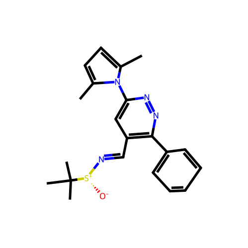 Cc1ccc(C)n1-c1cc(C=N[S@+]([O-])C(C)(C)C)c(-c2ccccc2)nn1